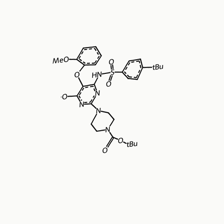 COc1ccccc1Oc1c([O])nc(N2CCN(C(=O)OC(C)(C)C)CC2)nc1NS(=O)(=O)c1ccc(C(C)(C)C)cc1